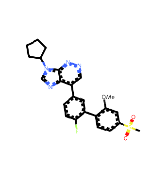 COc1cc(S(C)(=O)=O)ccc1-c1cc(-c2cnnc3c2ncn3C2CCCC2)ccc1F